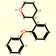 c1ccc(Oc2ccccc2C2CCCOC2)cc1